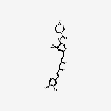 COc1ccc(/C=C/C(=O)CC(=O)/C=C/c2ccc(OC(=O)N3CCCNCC3)c(OC)c2)cc1OC